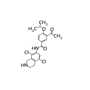 CC(=O)c1cc(C(=O)Nc2cc(Cl)c3c(c2Cl)CNCC3)ccc1OC(C)C